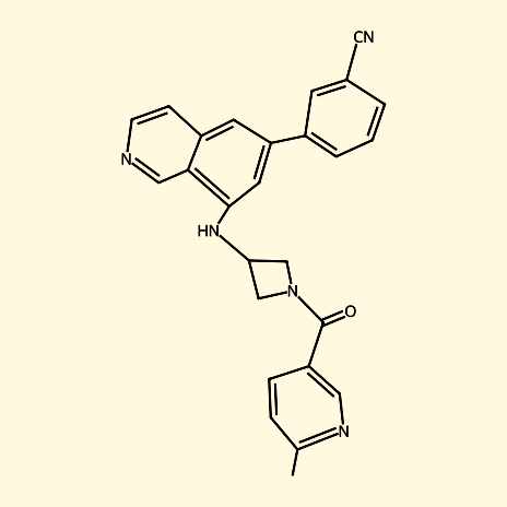 Cc1ccc(C(=O)N2CC(Nc3cc(-c4cccc(C#N)c4)cc4ccncc34)C2)cn1